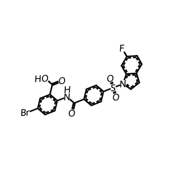 O=C(Nc1ccc(Br)cc1C(=O)O)c1ccc(S(=O)(=O)n2ccc3ccc(F)cc32)cc1